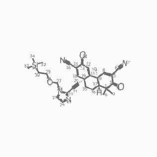 CC1(C)C(=O)C(C#N)=C[C@]2(C)C3=CC(=O)C(C#N)=C[C@]3(C#Cc3nccn3COCC[Si](C)(C)C)CC[C@@H]12